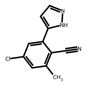 Cc1cc(Cl)cc(-c2ccn[nH]2)c1C#N